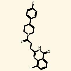 O=C(CCc1nc2c(Cl)cccc2c(=O)[nH]1)N1CC=C(c2ccc(F)cc2)CC1